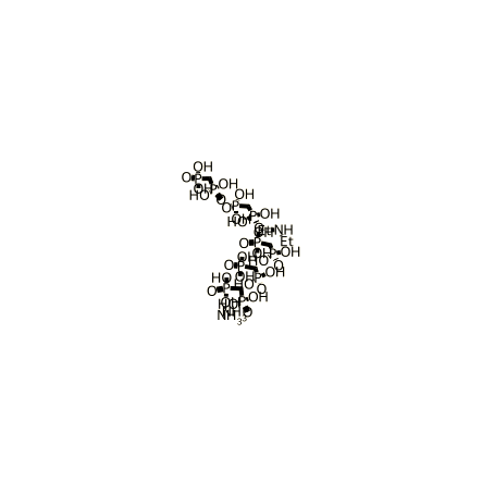 CCNCC.N.N.O=P(O)(O)CP(=O)(O)O.O=P(O)(O)CP(=O)(O)O.O=P(O)(O)CP(=O)(O)O.O=P(O)(O)CP(=O)(O)O.O=P(O)(O)CP(=O)(O)O